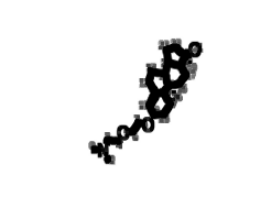 CN(C)CCOCCO[C@@H]1C=C2CCC3C(CC[C@]4(C)C(=O)CCC34)[C@@]2(C)CC1